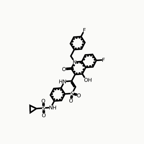 O=c1c(C2=CS(=O)(=O)c3cc(NS(=O)(=O)C4CC4)ccc3N2)c(O)c2cc(F)ccc2n1Cc1ccc(F)cc1